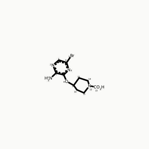 Nc1ncc(Br)nc1OC1CCN(C(=O)O)CC1